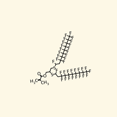 C=C(C)C(=O)OCC(CSC(F)CC(F)(F)C(F)(F)C(F)(F)C(F)(F)C(F)(F)C(F)(F)C(F)(F)C(F)(F)F)SC(F)CC(F)(F)C(F)(F)C(F)(F)C(F)(F)C(F)(F)C(F)(F)C(F)(F)C(F)(F)F